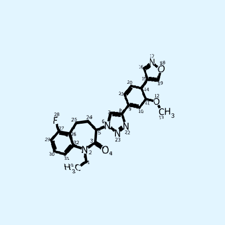 CCN1C(=O)C(n2cc(C3=CC(OC)C(c4cnoc4)C=C3)nn2)CCc2c(F)cccc21